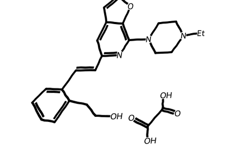 CCN1CCN(c2nc(C=Cc3ccccc3CCO)cc3ccoc23)CC1.O=C(O)C(=O)O